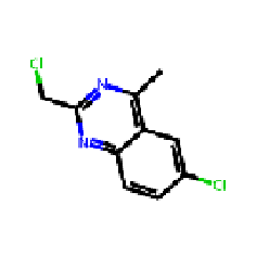 Cc1nc(CCl)nc2ccc(Cl)cc12